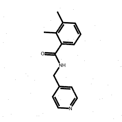 Cc1cccc(C(=O)NCc2ccncc2)c1C